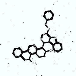 CC1CCc2c3c(ccc2=C1C1N=CC(OCc2ccccc2)=C2N=c4c[c]ccc4=C21)=c1ccccc1=CC3C